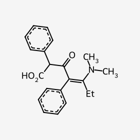 CCC(=C(C(=O)C(C(=O)O)c1ccccc1)c1ccccc1)N(C)C